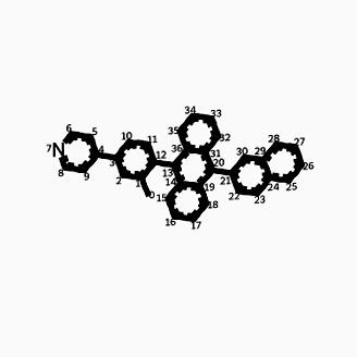 Cc1cc(-c2ccncc2)ccc1-c1c2ccccc2c(-c2ccc3ccccc3c2)c2ccccc12